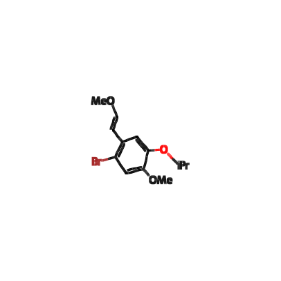 COC=Cc1cc(OC(C)C)c(OC)cc1Br